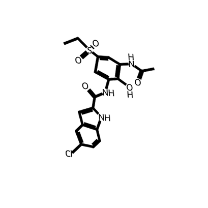 CCS(=O)(=O)c1cc(NC(C)=O)c(O)c(NC(=O)c2cc3cc(Cl)ccc3[nH]2)c1